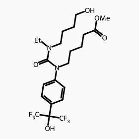 CCN(CCCCO)C(=O)N(CCCCC(=O)OC)c1ccc(C(O)(C(F)(F)F)C(F)(F)F)cc1